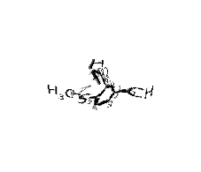 C#Cc1ccc(SCC)c(N)c1